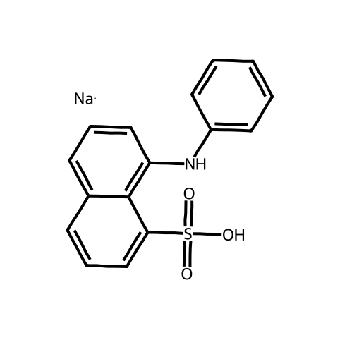 O=S(=O)(O)c1cccc2cccc(Nc3ccccc3)c12.[Na]